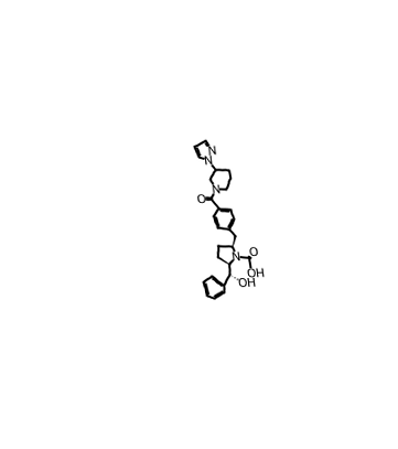 O=C(c1ccc(C[C@@H]2CC[C@H]([C@H](O)c3ccccc3)N2C(=O)O)cc1)N1CCCC(n2cccn2)C1